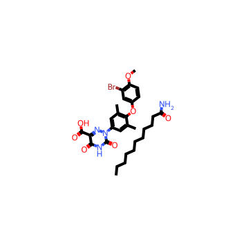 CCCCCCCCCCC(N)=O.COc1ccc(Oc2c(C)cc(-n3nc(C(=O)O)c(=O)[nH]c3=O)cc2C)cc1Br